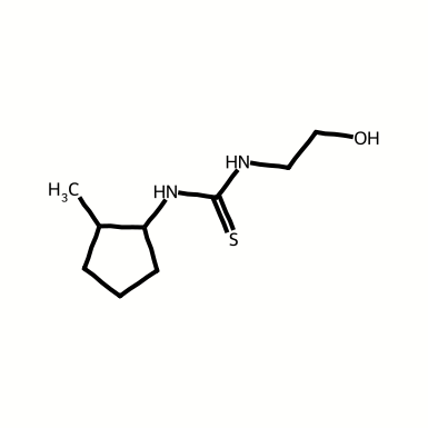 CC1CCCC1NC(=S)NCCO